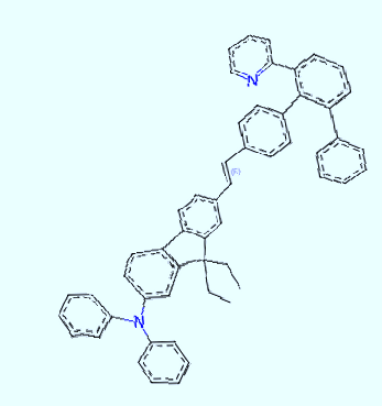 CCC1(CC)c2cc(/C=C/c3ccc(-c4c(-c5ccccc5)cccc4-c4ccccn4)cc3)ccc2-c2ccc(N(c3ccccc3)c3ccccc3)cc21